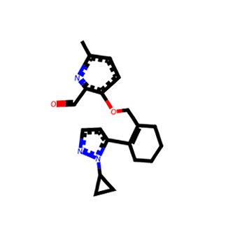 Cc1ccc(OCC2=C(c3ccnn3C3CC3)CCCC2)c(C=O)n1